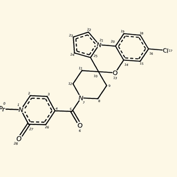 CC(C)n1ccc(C(=O)N2CCC3(CC2)Oc2cc(Cl)ccc2-n2cccc23)cc1=O